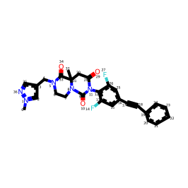 Cn1cc(CN2CCN3C(=O)N(c4c(F)cc(C#Cc5ccccc5)cc4F)C(=O)CC3(C)C2=O)cn1